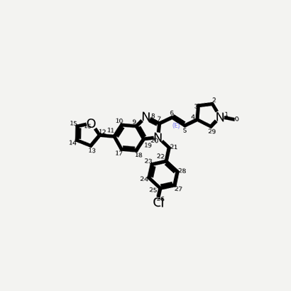 CN1CCC(/C=C/c2nc3cc(C4CC=CO4)ccc3n2Cc2ccc(Cl)cc2)C1